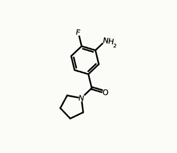 Nc1cc(C(=O)N2CCCC2)ccc1F